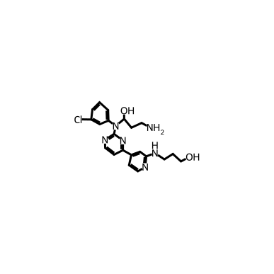 NCCC(O)N(c1cccc(Cl)c1)c1nccc(-c2ccnc(NCCCO)c2)n1